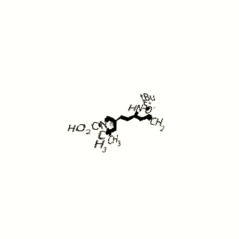 C=CCC(CC[C@@H]1CN(C(=O)O)C(C)(C)C1)N[S+]([O-])C(C)(C)C